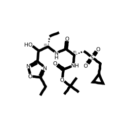 CCc1nc(C(O)[C@H](CC)NC(=O)[C@H](CS(=O)(=O)CC2CC2)NC(=O)OC(C)(C)C)no1